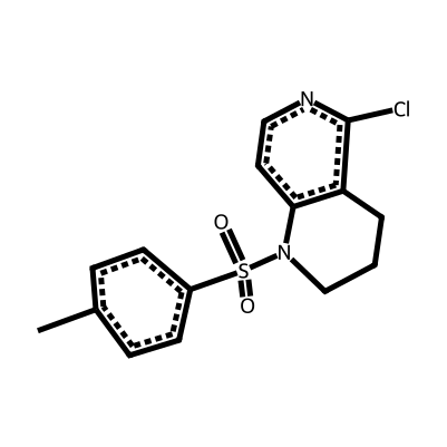 Cc1ccc(S(=O)(=O)N2CCCc3c2ccnc3Cl)cc1